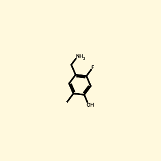 Cc1cc(CN)c(F)cc1O